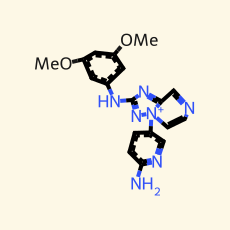 COc1cc(NC2=N[N+]3(c4ccc(N)nc4)C=CN=CC3=N2)cc(OC)c1